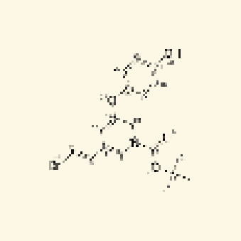 CC(C)(C)OC(=O)N1C=C(C=[C]Br)C=C(Oc2ccc(O)cc2)C1